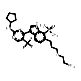 CP(C)(=O)c1c(CCCOCCN)ccc2c(-c3nc(NC4CCCC4)ncc3C(F)(F)F)c[nH]c12